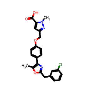 Cc1oc(Cc2cccc(Cl)c2)nc1-c1ccc(OCc2cc(C(=O)O)n(C)n2)cc1